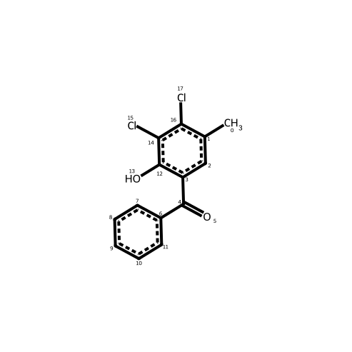 Cc1cc(C(=O)c2ccccc2)c(O)c(Cl)c1Cl